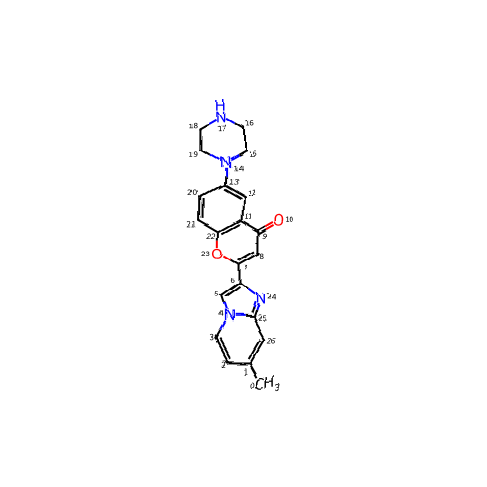 Cc1ccn2cc(-c3cc(=O)c4cc(N5CCNCC5)ccc4o3)nc2c1